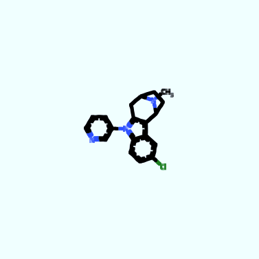 CN1C2CCC1c1c(n(-c3cccnc3)c3ccc(Cl)cc13)C2